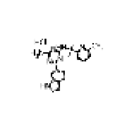 CC(C)(Nc1nc(N)nc(-c2ccc3cn[nH]c3c2)n1)c1cccc(C(F)(F)F)n1.Cl